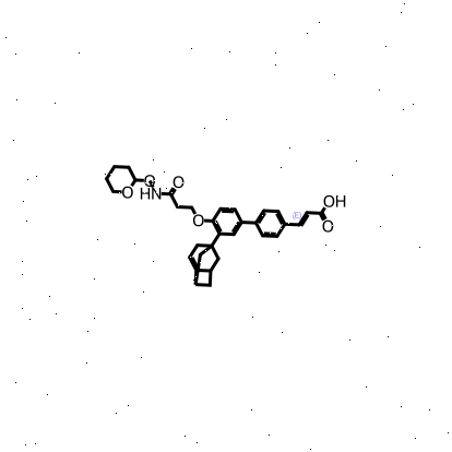 O=C(O)/C=C/c1ccc(-c2ccc(OCCC(=O)NOC3CCCCO3)c(C34CC=C5C(CC5C3)C4)c2)cc1